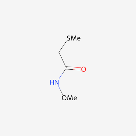 CONC(=O)CSC